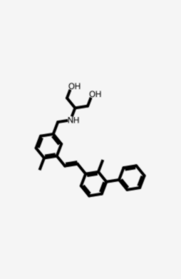 Cc1ccc(CNC(CO)CO)cc1/C=C/c1cccc(-c2ccccc2)c1C